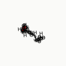 O=C1CCC(N2Cc3c(C#CCCCC(=O)N[C@H]4CC[C@H](NC(=O)[C@@H]5NC6(CCCCC6)[C@@]6(C(=O)Nc7cc(Cl)ccc76)[C@H]5c5cccc(Cl)c5F)CC4)cccc3C2=O)C(=O)N1